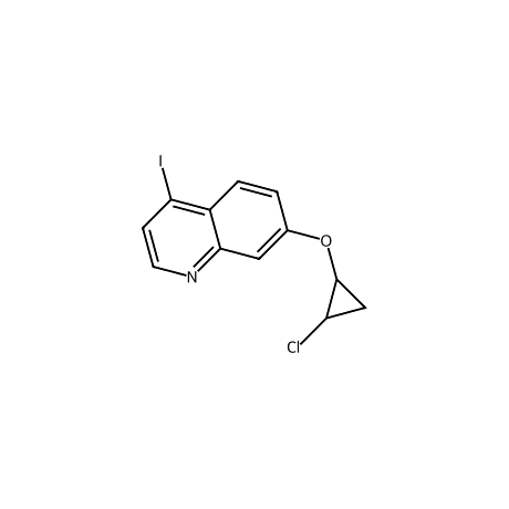 ClC1CC1Oc1ccc2c(I)ccnc2c1